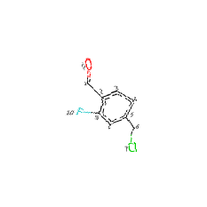 O=Cc1ccc(CCl)cc1F